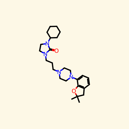 CC1(C)Cc2cccc(N3CCN(CCCN4CCN(C5CCCCC5)C4=O)CC3)c2O1